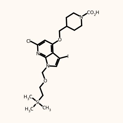 C[Si](C)(C)CCOCn1cc(I)c2c(OCC3CCN(C(=O)O)CC3)cc(Cl)nc21